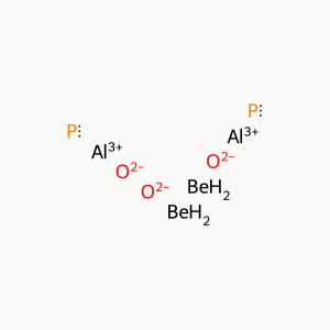 [Al+3].[Al+3].[BeH2].[BeH2].[O-2].[O-2].[O-2].[P].[P]